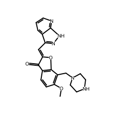 COc1ccc2c(c1CN1CCNCC1)OC(=Cc1n[nH]c3ncccc13)C2=O